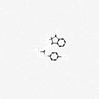 NNC(=O)Nc1ccc(C(F)(F)F)cc1.O=C1c2ccccc2C(=O)C1(O)O